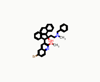 COc1nc2ccc(Br)cc2cc1C(c1ccccc1)C(O)(CCN(C)Cc1ccccc1)c1cccc2ccccc12